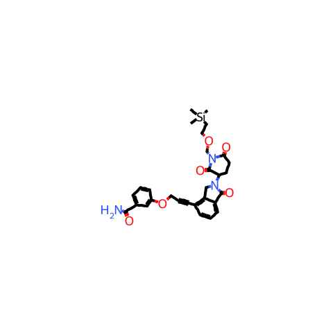 C[Si](C)(C)CCOCN1C(=O)CCC(N2Cc3c(C#CCOc4cccc(C(N)=O)c4)cccc3C2=O)C1=O